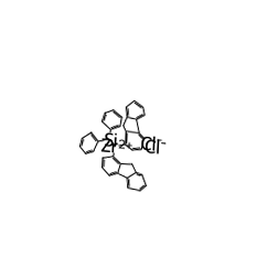 [Cl-].[Cl-].c1ccc([Si](c2ccccc2)=[Zr+2]([c]2cccc3c2Cc2ccccc2-3)[c]2cccc3c2Cc2ccccc2-3)cc1